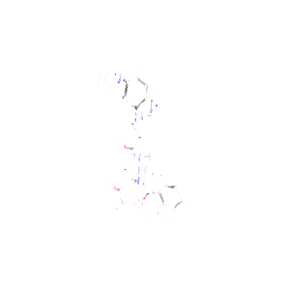 COC(=O)C(CNC(=O)CCn1cnc2ccc(N)cc21)NC(=O)c1c(Cl)cccc1Cl